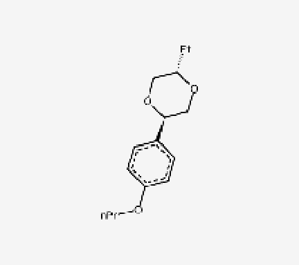 CCCOc1ccc([C@@H]2CO[C@@H](CC)CO2)cc1